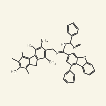 Bc1c(S)c2c(c(B)c1C/N=C(\NC(N=C)c1ccccc1)c1cc(-c3ccccc3)c3c(c1)oc1ccccc13)Cc1c(C)c(O)c(C)c(C)c1-2